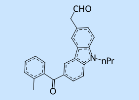 CCCn1c2ccc(CC=O)cc2c2cc(C(=O)c3ccccc3C)ccc21